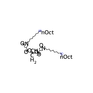 [CH2]C([CH2])(COC(=O)C1CC(=O)N(CCCCCCCC/C=C\CCCCCCCC)C1)COC(=O)C1CC(=O)N(CCCCCCCC/C=C\CCCCCCCC)C1